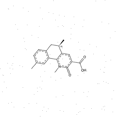 Cc1ccc2c(c1)-c1c(cc(C(=O)O)c(=O)n1C)[C@H](C)C2